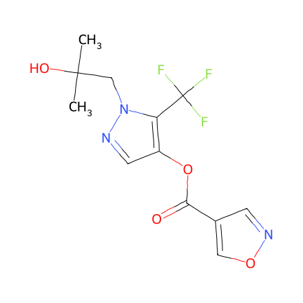 CC(C)(O)Cn1ncc(OC(=O)c2cnoc2)c1C(F)(F)F